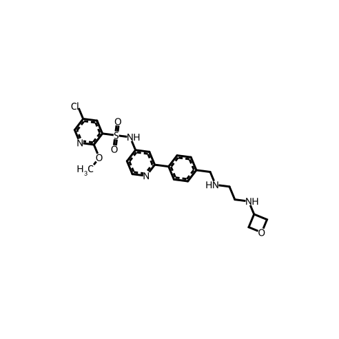 COc1ncc(Cl)cc1S(=O)(=O)Nc1ccnc(-c2ccc(CNCCNC3COC3)cc2)c1